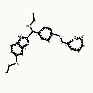 CCOc1ccc2[nH]c(C(OCC)c3ccc(OCc4cccnc4)cc3)nc2c1